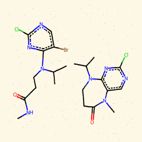 CC(C)N1CCC(=O)N(C)c2cnc(Cl)nc21.CNC(=O)CCN(c1nc(Cl)ncc1Br)C(C)C